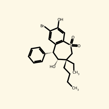 CCCC[C@]1(CC)CS(=O)(=O)c2cc(O)c(Br)cc2[C@@H](c2ccccc2)[C@H]1O